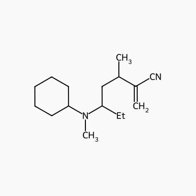 C=C(C#N)C(C)CC(CC)N(C)C1CCCCC1